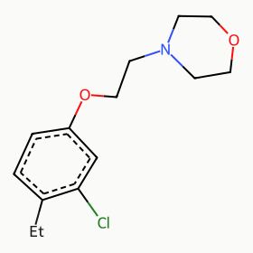 CCc1ccc(OCCN2CCOCC2)cc1Cl